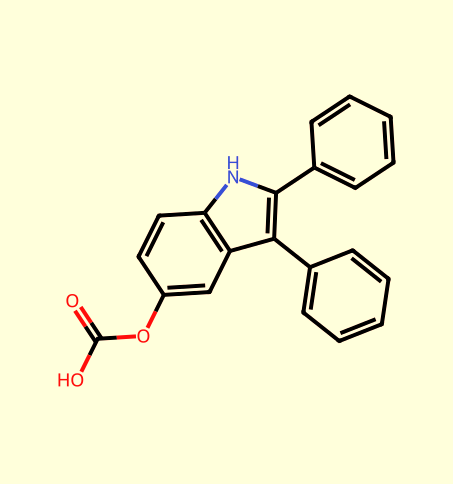 O=C(O)Oc1ccc2[nH]c(-c3ccccc3)c(-c3ccccc3)c2c1